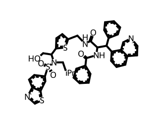 CC(C)CN(C(CO)c1ccc(CNC(=O)C(NC(=O)c2ccccc2)C(c2ccccc2)c2cccc3ccncc23)s1)S(=O)(=O)c1ccc2ncsc2c1